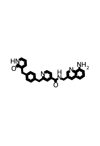 Nc1cccc2cc(CNC(=O)c3ccnc(Cc4ccc(Cc5ccc[nH]c5=O)cc4)c3)cnc12